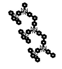 c1ccc(-c2ccc(-c3nc(-c4ccc(-c5cccc(-c6ccc(-c7nc(-c8ccc(-c9cccc(-c%10ccc(-c%11nc(-c%12ccccc%12)nc(-c%12ccc(-n%13c%14ccccc%14c%14ccc%15c%16ccccc%16sc%15c%14%13)cc%12)n%11)cc%10)c9)cc8)nc(-c8ccc(-n9c%10ccccc%10c%10ccc%11c%12ccccc%12sc%11c%109)cc8)n7)cc6)c5)cc4)nc(-c4ccc(-n5c6ccccc6c6ccc7c8ccccc8sc7c65)cc4)n3)cc2)cc1